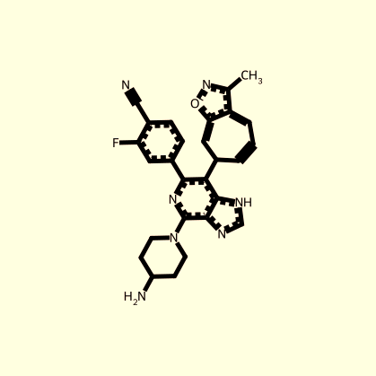 Cc1noc2c1=CC#CC(c1c(-c3ccc(C#N)c(F)c3)nc(N3CCC(N)CC3)c3nc[nH]c13)C=2